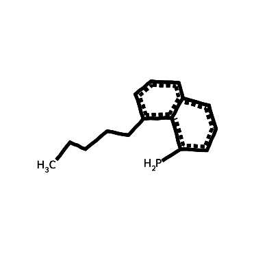 CCCCCc1cccc2cccc(P)c12